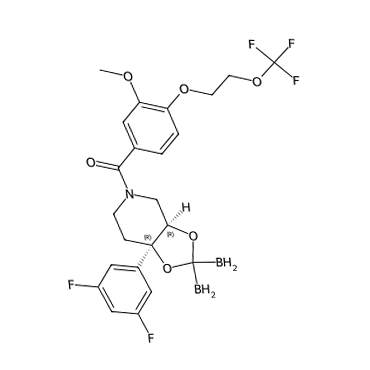 BC1(B)O[C@@H]2CN(C(=O)c3ccc(OCCOC(F)(F)F)c(OC)c3)CC[C@]2(c2cc(F)cc(F)c2)O1